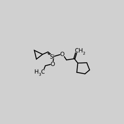 C=C(CO[Si](=CC1CC1)OCC)C1CCCC1